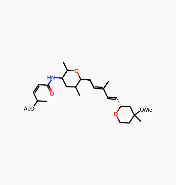 COC1(C)CCO[C@H](/C=C/C(C)=C/C[C@@H]2OC(C)C(NC(=O)/C=C\C(C)OC(C)=O)CC2C)C1